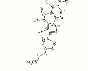 C=CCCC1COC(c2ccc3c(c2F)C(F)C(F)c2c-3ccc(OCC)c2F)OC1